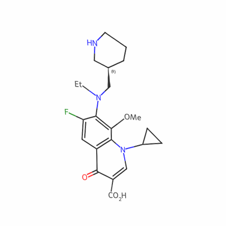 CCN(C[C@@H]1CCCNC1)c1c(F)cc2c(=O)c(C(=O)O)cn(C3CC3)c2c1OC